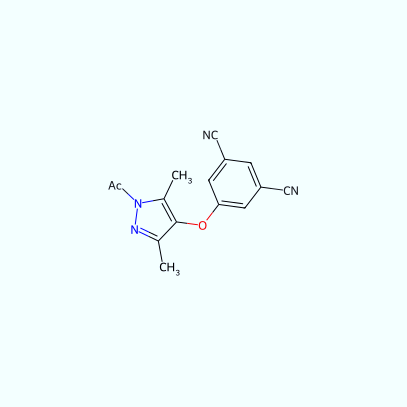 CC(=O)n1nc(C)c(Oc2cc(C#N)cc(C#N)c2)c1C